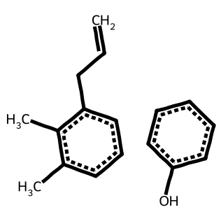 C=CCc1cccc(C)c1C.Oc1ccccc1